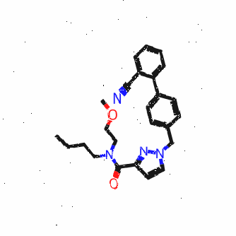 CCCCN(CCOC)C(=O)c1ccn(Cc2ccc(-c3ccccc3C#N)cc2)n1